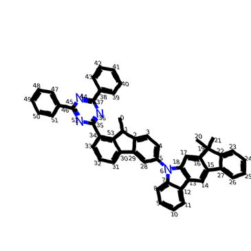 CC1c2ccc(-n3c4ccccc4c4cc5c(cc43)C(C)(C)c3ccccc3-5)cc2-c2cccc(-c3nc(-c4ccccc4)nc(-c4ccccc4)n3)c21